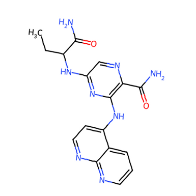 CCC(Nc1cnc(C(N)=O)c(Nc2ccnc3ncccc23)n1)C(N)=O